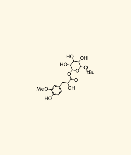 COc1cc(CC(O)C(=O)OC2OC(OC(C)(C)C)C(O)C(O)C2O)ccc1O